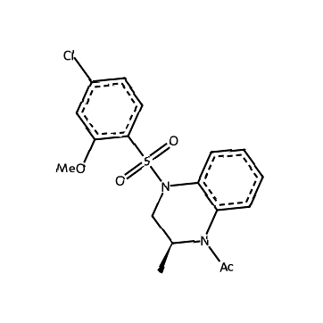 COc1cc(Cl)ccc1S(=O)(=O)N1C[C@H](C)N(C(C)=O)c2ccccc21